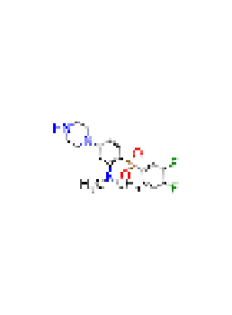 CN(C)c1cc(N2CCNCC2)ccc1S(=O)(=O)c1ccc(F)c(F)c1